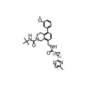 COc1cccc(-c2ccc(CNC(=O)[C@H]3C[C@@H]3c3nc(C)no3)c3c2CCN(C(=O)NC(C)(C)C)C3)c1